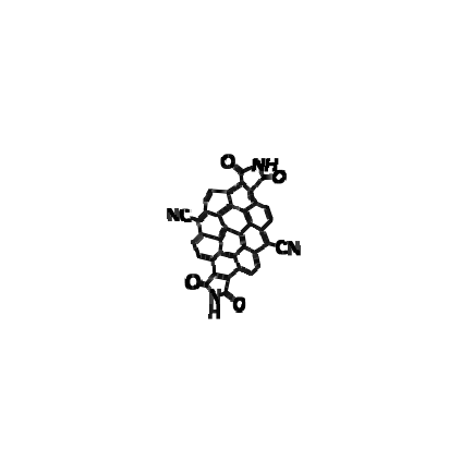 N#Cc1c2ccc3c4c(=O)[nH]c(=O)c4c4ccc5c(C#N)c6ccc7c8c(=O)[nH]c(=O)c8c8ccc1c1c8c7c6c6c5c4c3c2c16